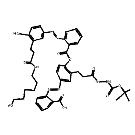 CC(C)(C)OC(=O)NNC(=O)CCc1cc(/N=N/c2ccccc2C(=O)O)ccc1OC(=O)c1ccccc1/N=N/c1ccc(O)c(CCC(=O)NCCCCCCO)c1